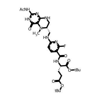 CC(=O)Nc1nc2c(c(=O)[nH]1)N(C)[C@@H](CNc1ccc(C(=O)N[C@@H](CCC(=O)OC(C)(C)C)C(=O)OC(C)(C)C)c(F)n1)CN2